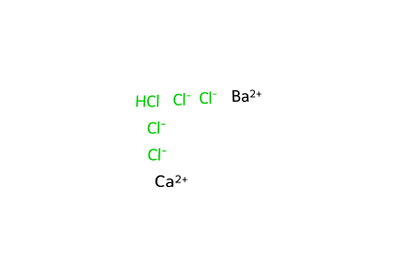 Cl.[Ba+2].[Ca+2].[Cl-].[Cl-].[Cl-].[Cl-]